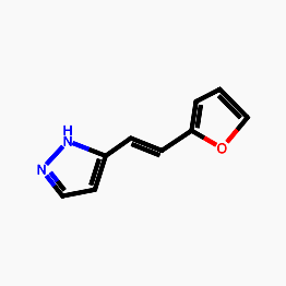 C(=Cc1ccco1)c1ccn[nH]1